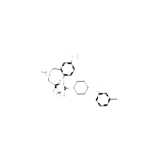 Cc1cccc(O[C@H]2CC[C@H](c3nnc4n3-c3ccc(Cl)cc3CN(C)C4)CC2)c1